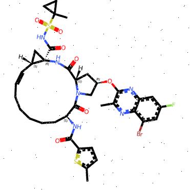 Cc1ccc(C(=O)N[C@H]2CCCCCC=C[C@@H]3C[C@@]3(C(=O)NS(=O)(=O)C3(C)CC3)NC(=O)[C@@H]3C[C@@H](Oc4nc5cc(F)cc(Br)c5nc4C)CN3C2=O)s1